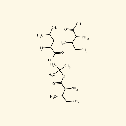 CC(C)CC(N)C(=O)O.CCC(C)C(N)C(=O)O.CCC(C)C(N)C(=O)OC(C)(C)C